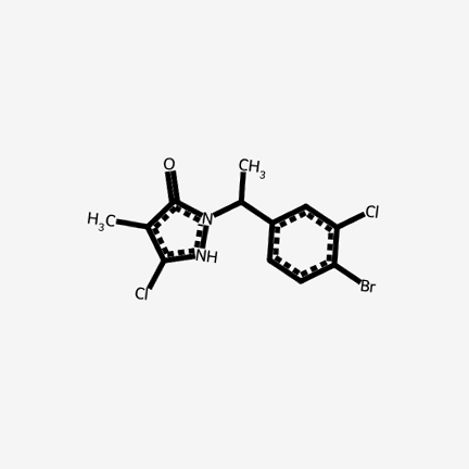 Cc1c(Cl)[nH]n(C(C)c2ccc(Br)c(Cl)c2)c1=O